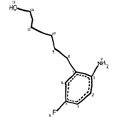 Nc1ccc(F)cc1CCCCCO